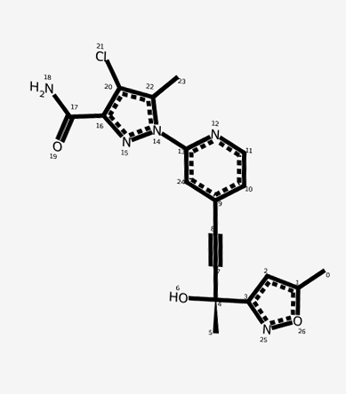 Cc1cc([C@](C)(O)C#Cc2ccnc(-n3nc(C(N)=O)c(Cl)c3C)c2)no1